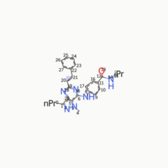 CCCc1nn(C)c2c(Nc3ccc(C(=O)NC(C)C)cc3)nc(/C=C/c3ccccc3)nc12